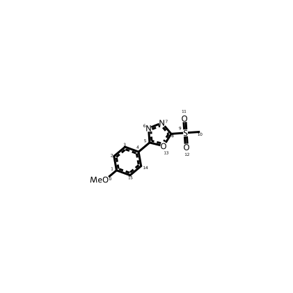 COc1ccc(-c2nnc(S(C)(=O)=O)o2)cc1